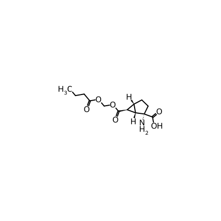 CCCC(=O)OCOC(=O)[C@H]1[C@@H]2CC[C@@](N)(C(=O)O)[C@@H]21